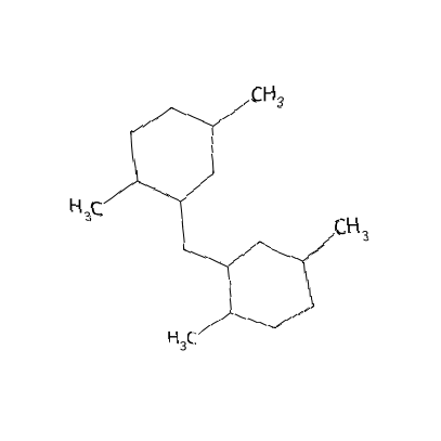 CC1CCC(C)C(CC2CC(C)CCC2C)C1